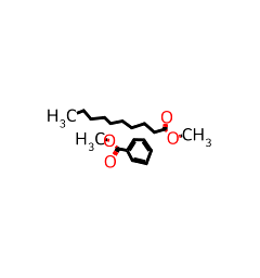 CCCCCCCCCC(=O)OC.COC(=O)c1ccccc1